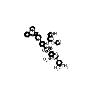 CC(C)c1ccccc1[C@H]1CCCN1C1CC2(CCN(c3ccc(C(=O)NS(=O)(=O)c4cc5c(c([N+](=O)[O-])c4)N[C@@H](C4CCC(C)(C)CC4)CO5)c(Oc4cc5cc[nH]c5nc4O[C@@H]4CCOC4)c3)CC2)C1